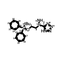 CC(C)(C)[Si](OCCN(N)c1nnn[nH]1)(c1ccccc1)c1ccccc1